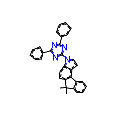 CC1(C)c2ccccc2-c2c1ccc1c2ccn1-c1nc(-c2ccccc2)nc(-c2ccccc2)n1